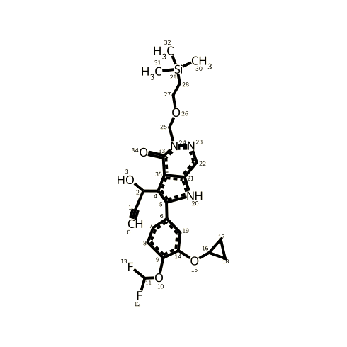 C#CC(O)c1c(-c2ccc(OC(F)F)c(OC3CC3)c2)[nH]c2cnn(COCC[Si](C)(C)C)c(=O)c12